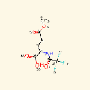 COC(=O)CCC(NC(=O)C(F)(F)F)C(=O)O